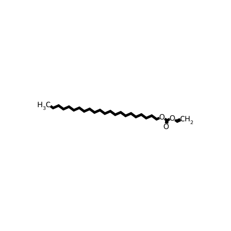 C=COC(=O)OCCCCCCCCCCCCCCCCCCCCCC